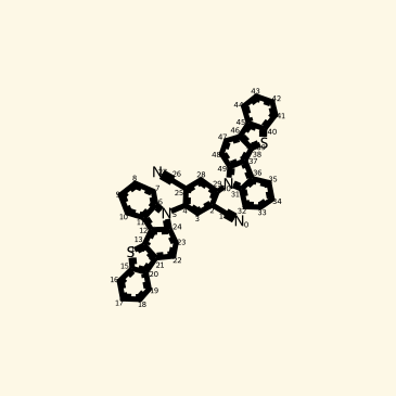 N#Cc1cc(-n2c3ccccc3c3c4sc5ccccc5c4ccc32)c(C#N)cc1-n1c2ccccc2c2c3sc4ccccc4c3ccc21